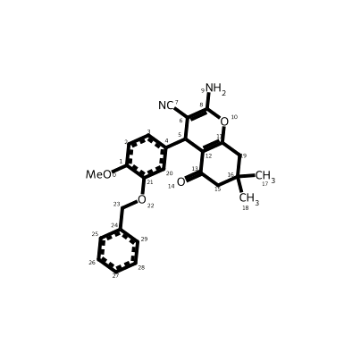 COc1ccc(C2C(C#N)=C(N)OC3=C2C(=O)CC(C)(C)C3)cc1OCc1ccccc1